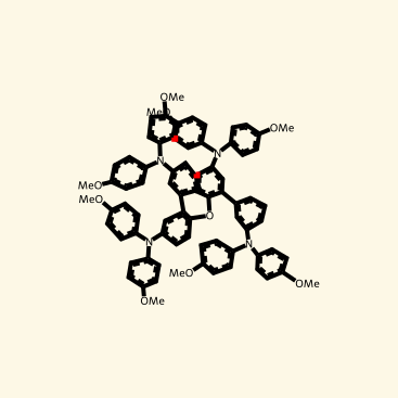 COc1ccc(N(c2ccc(OC)cc2)c2cccc(-c3cc(N(c4ccc(OC)cc4)c4ccc(OC)cc4)ccc3Oc3ccc(N(c4ccc(OC)cc4)c4ccc(OC)cc4)cc3-c3cccc(N(c4ccc(OC)cc4)c4ccc(OC)cc4)c3)c2)cc1